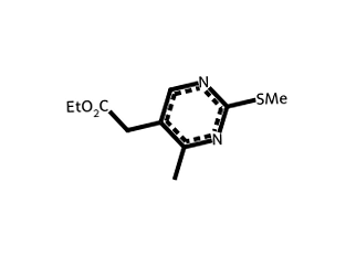 CCOC(=O)Cc1cnc(SC)nc1C